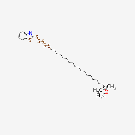 CO[Si](C)(C)CCCCCCCCCCCCCCCCCCSSSSSc1nc2ccccc2s1